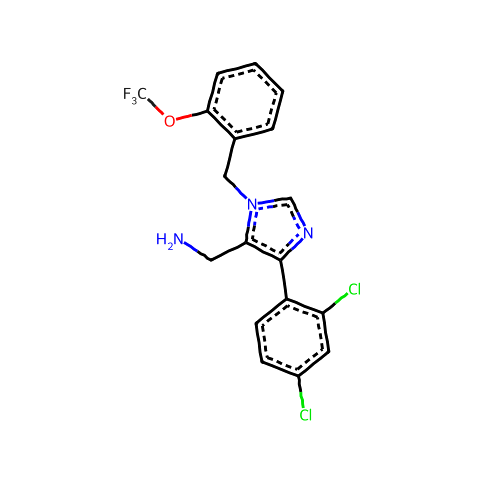 NCc1c(-c2ccc(Cl)cc2Cl)ncn1Cc1ccccc1OC(F)(F)F